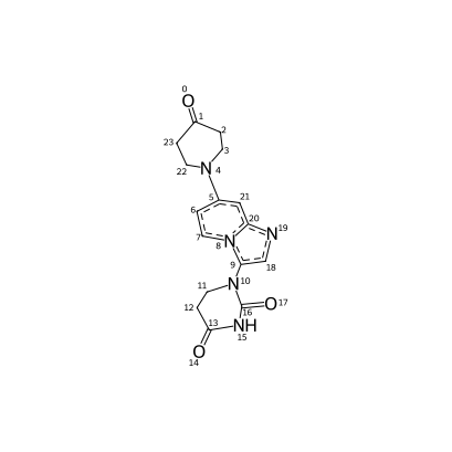 O=C1CCN(c2ccn3c(N4CCC(=O)NC4=O)cnc3c2)CC1